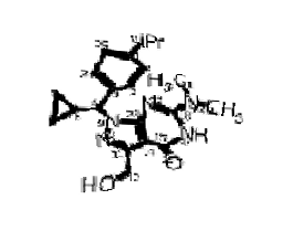 CC(C)c1ccc([C@H](C2CC2)n2nc(CO)c3c(=O)[nH]c(N(C)C)nc32)cc1